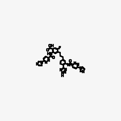 O=C(Nc1cc(CCCc2ccc(-c3nn[nH]n3)c(NC(=O)c3ccc(-n4ccnc4)nn3)c2)c(F)cc1C(=O)O)c1ccc(-n2ccnc2)nn1